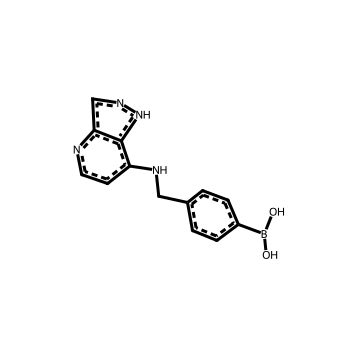 OB(O)c1ccc(CNc2ccnc3cn[nH]c23)cc1